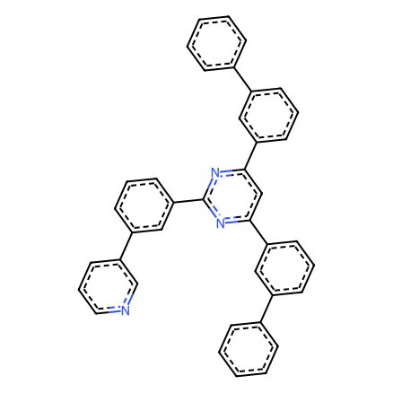 c1ccc(-c2cccc(-c3cc(-c4cccc(-c5ccccc5)c4)nc(-c4cccc(-c5cccnc5)c4)n3)c2)cc1